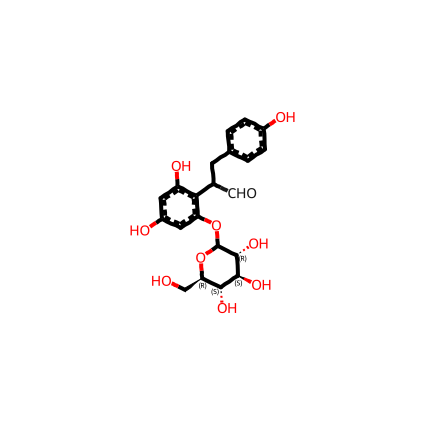 O=CC(Cc1ccc(O)cc1)c1c(O)cc(O)cc1OC1O[C@H](CO)[C@@H](O)[C@H](O)[C@H]1O